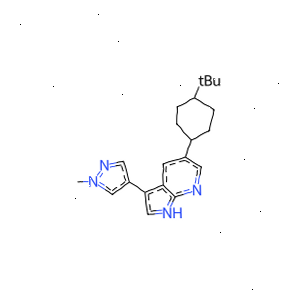 Cn1cc(-c2c[nH]c3ncc(C4CCC(C(C)(C)C)CC4)cc23)cn1